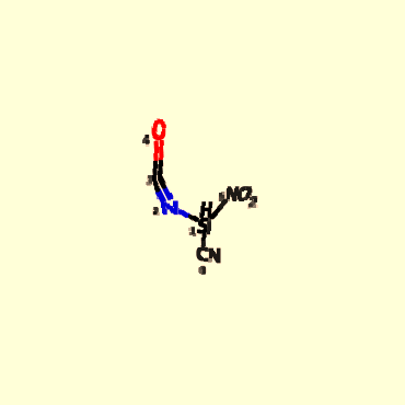 N#C[SiH](N=C=O)[N+](=O)[O-]